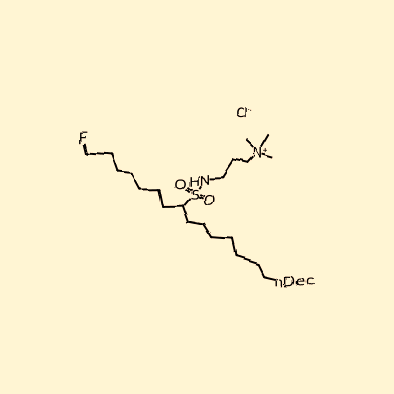 CCCCCCCCCCCCCCCCCC(CCCCCCCF)S(=O)(=O)NCCC[N+](C)(C)C.[Cl-]